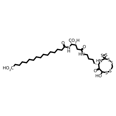 O=C(O)CCCCCCCCCCCCCCC(=O)N[C@@H](CCC(=O)NCCCC[C@@H]1NC2(SSCSSC(O)C1=O)SS2)C(=O)O